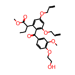 C=CCOc1cc(OCC=C)c(C(=O)c2ccc(OCCO)c(OC)c2)c(C(CC)C(=O)OC)c1